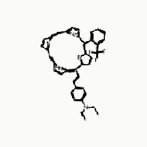 CCN(CC)c1ccc(/C=C/c2c3nc(c(-c4ccccc4C(F)(F)F)c4ccc(cc5nc(cc6ccc2[nH]6)C=C5)[nH]4)C=C3)cc1